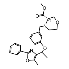 COC(=O)[C@@H]1COCCN1Cc1cccc(OC(C)c2nc(-c3ccccc3)oc2C)c1